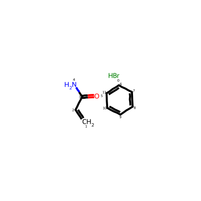 Br.C=CC(N)=O.c1ccccc1